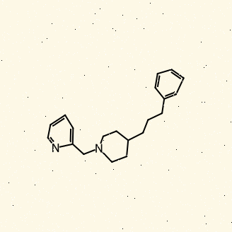 c1ccc(CCCC2CCN(Cc3ccccn3)CC2)cc1